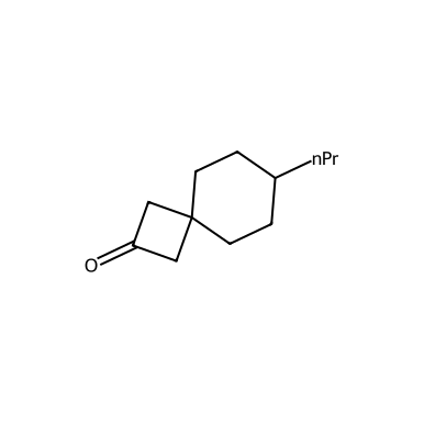 CCCC1CCC2(CC1)CC(=O)C2